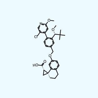 COc1cc(-c2ccc(COc3ccc4c(c3)[C@@]3(CCC4)C[C@@H]3C(=O)O)cc2[C@H](OC)C(C)(C)C)c(Cl)cn1